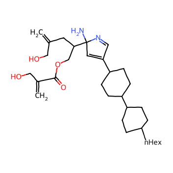 C=C(CO)CC(COC(=O)C(=C)CO)C1(N)C=C(C2CCC(C3CCC(CCCCCC)CC3)CC2)C=N1